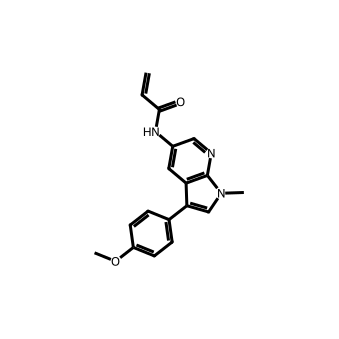 C=CC(=O)Nc1cnc2c(c1)c(-c1ccc(OC)cc1)cn2C